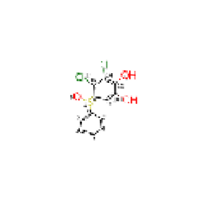 [O-][S+](c1ccccc1)c1cc(O)c(O)c(Cl)c1Cl